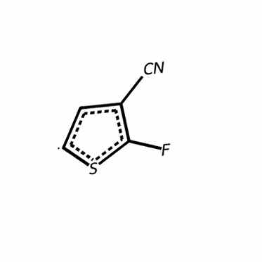 N#Cc1c[c]sc1F